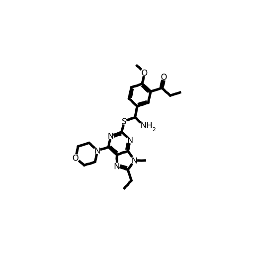 CCC(=O)c1cc(C(N)Sc2nc(N3CCOCC3)c3nc(CC)n(C)c3n2)ccc1OC